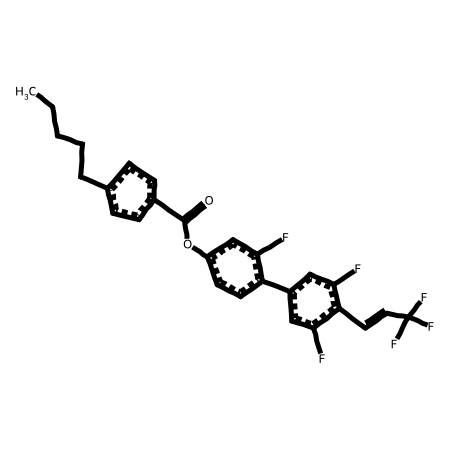 CCCCCc1ccc(C(=O)Oc2ccc(-c3cc(F)c(/C=C/C(F)(F)F)c(F)c3)c(F)c2)cc1